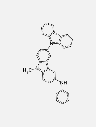 Cn1c2ccc(Nc3ccccc3)cc2c2cc(-n3c4ccccc4c4ccccc43)ccc21